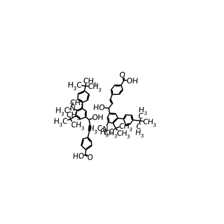 CN(C)c1c(-c2ccc(C(C)(C)C)cc2)cc(C(O)C#Cc2ccc(C(=O)O)cc2)cc1C(C)(C)C.CN(C)c1cc(C(O)C=Cc2ccc(C(=O)O)cc2)cc(-c2ccc(C(C)(C)C)cc2)c1C(C)(C)C